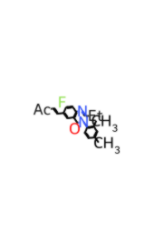 CCc1nc2cc(F)c(/C=C/C(C)=O)cc2c(=O)n1-c1ccc(C)cc1C